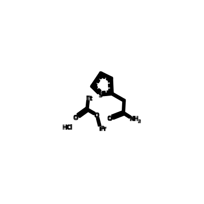 CCC(=O)OC(C)C.Cl.NC(=O)Cc1cccs1